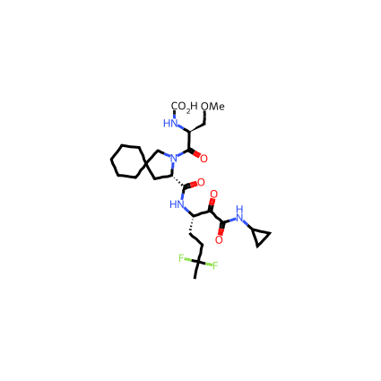 COC[C@H](NC(=O)O)C(=O)N1CC2(CCCCC2)C[C@H]1C(=O)N[C@@H](CCC(C)(F)F)C(=O)C(=O)NC1CC1